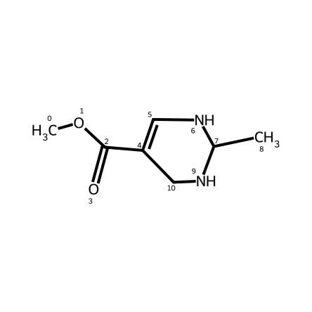 COC(=O)C1=CNC(C)NC1